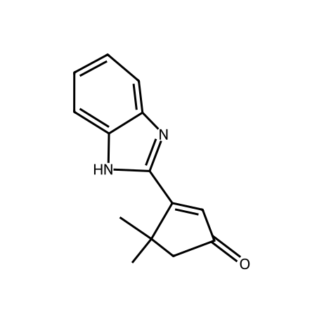 CC1(C)CC(=O)C=C1c1nc2ccccc2[nH]1